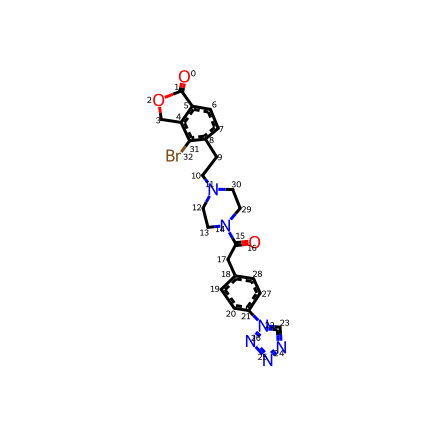 O=C1OCc2c1ccc(CCN1CCN(C(=O)Cc3ccc(-n4cnnn4)cc3)CC1)c2Br